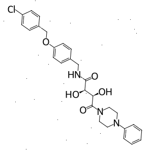 O=C(NCc1ccc(OCc2ccc(Cl)cc2)cc1)[C@H](O)[C@@H](O)C(=O)N1CCN(c2ccccc2)CC1